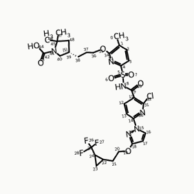 Cc1ccc(S(=O)(=O)NC(=O)c2ccc(-n3ccc(OCCC4CC4C(F)(F)F)n3)nc2Cl)nc1OCCC[C@@H]1CN(C(=O)O)C(C)(C)C1